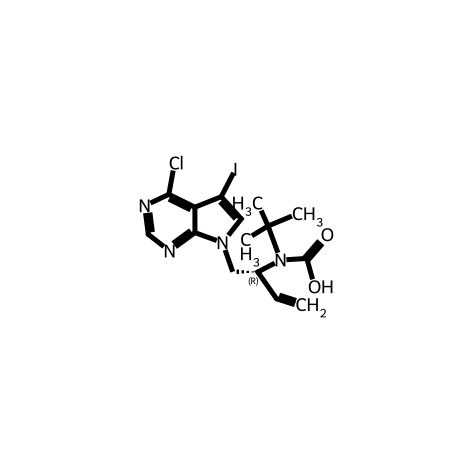 C=C[C@H](Cn1cc(I)c2c(Cl)ncnc21)N(C(=O)O)C(C)(C)C